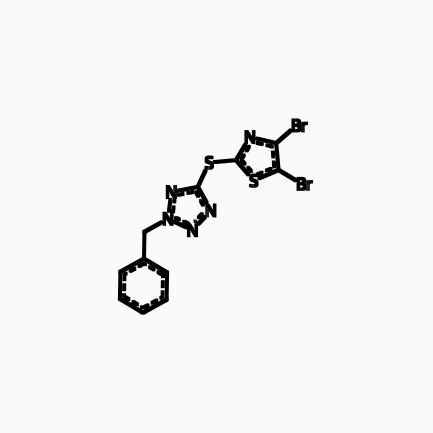 Brc1nc(Sc2nnn(Cc3ccccc3)n2)sc1Br